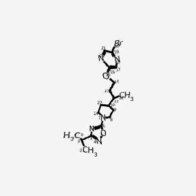 CC(C)c1noc(N2CCC(C(C)CCOc3cnc(Br)cn3)CC2)n1